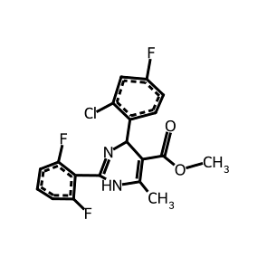 COC(=O)C1=C(C)NC(c2c(F)cccc2F)=NC1c1ccc(F)cc1Cl